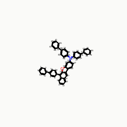 c1ccc(-c2ccc(-c3c4ccccc4cc4c3oc3cc(N(c5ccc(-c6ccccc6)cc5)c5ccc(-c6ccccc6)cc5)ccc34)cc2)cc1